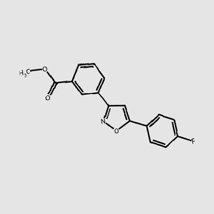 COC(=O)c1cccc(-c2cc(-c3ccc(F)cc3)on2)c1